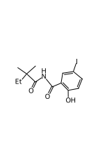 CCC(C)(C)C(=O)NC(=O)c1cc(I)ccc1O